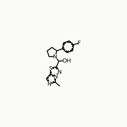 Cc1ncc2sc(C(O)N3CCCC3c3ccc(F)cc3)nn12